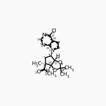 CC(=O)[C@@]1(C)C[C@@H](n2ccc3c(Cl)ncnc32)[C@@H]2OC(C)(C)O[C@@H]21